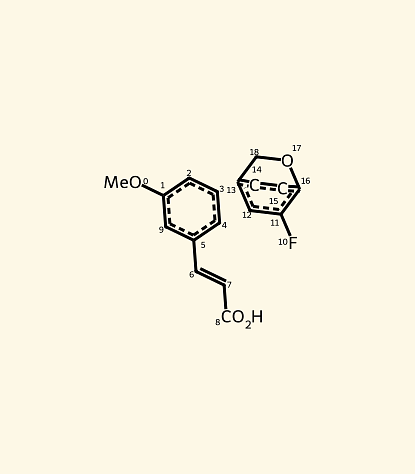 COc1cccc(/C=C/C(=O)O)c1.Fc1cc2ccc1OC2